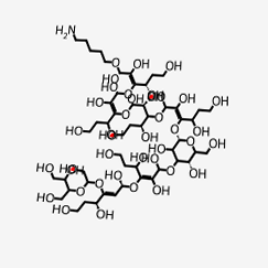 NCCCCCO[C@H](O)/C(O)=C(\OC(O)/C(O)=C(\O[C@H](O)[C@@H](O)C(OC(O)/C(O)=C(\O[C@@H]1OC(CO)[C@H](O)C(OC(O)/C(O)=C(/O[C@H](O)/C=C(\OC(CO)OC(CO)C(O)CO)[C@@H](O)CCO)C(O)CCO)C1O)C(O)CCO)[C@@H](O)CCO)C(O)CCO)[C@@H](O)CCO